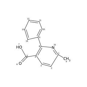 Cc1ccc(C(=O)O)c(-c2ccccc2)n1